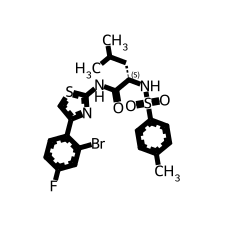 Cc1ccc(S(=O)(=O)N[C@@H](CC(C)C)C(=O)Nc2nc(-c3ccc(F)cc3Br)cs2)cc1